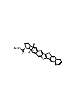 COC(=O)N1C=CC2C1[C@H]1C=c3cc4sc5c6cc7ccccc7cc6sc5c4cc3=C[C@@H]21